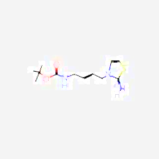 [H]/N=c1/sccn1CC=CCNC(=O)OC(C)(C)C